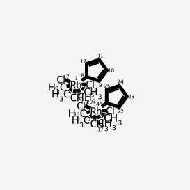 [CH3][Rh]([CH3])([CH3])([CH3])([CH3])([Cl])([Cl])[CH]1C=CC=C1.[CH3][Rh]([CH3])([CH3])([CH3])([CH3])([Cl])([Cl])[CH]1C=CC=C1